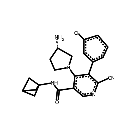 N#Cc1ncc(C(=O)NC23CC(C2)C3)c(N2CC[C@H](N)C2)c1-c1cccc(Cl)c1